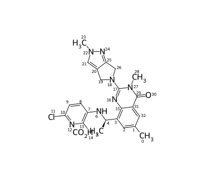 Cc1cc([C@@H](C)Nc2ccc(Cl)nc2C(=O)O)c2nc(N3Cc4cn(C)nc4C3)n(C)c(=O)c2c1